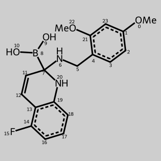 COc1ccc(CNC2(B(O)O)C=Cc3c(F)cccc3N2)c(OC)c1